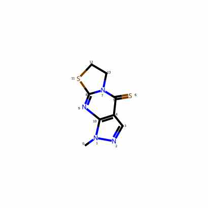 Cn1ncc2c(=S)n3c(nc21)SCC3